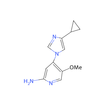 COc1cnc(N)cc1-n1cnc(C2CC2)c1